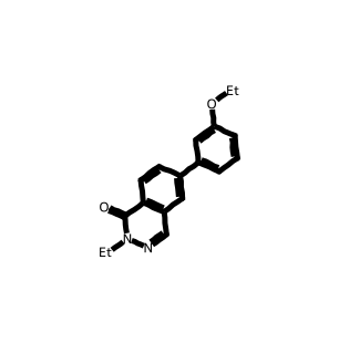 CCOc1cccc(-c2ccc3c(=O)n(CC)ncc3c2)c1